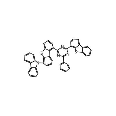 c1ccc(-c2nc(-c3cccc4c3sc3ccccc34)nc(-c3cccc4sc5c(-n6c7ccccc7c7ccccc76)cccc5c34)n2)cc1